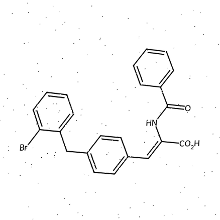 O=C(O)/C(=C/c1ccc(Cc2ccccc2Br)cc1)NC(=O)c1ccccc1